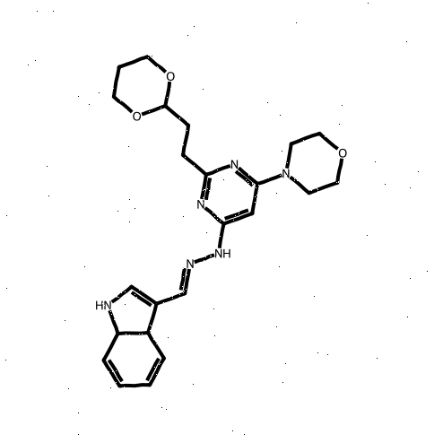 C1=CC2NC=C(/C=N/Nc3cc(N4CCOCC4)nc(CCC4OCCCO4)n3)C2C=C1